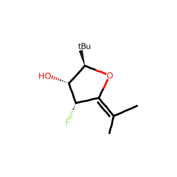 CC(C)=C1O[C@H](C(C)(C)C)[C@@H](O)[C@H]1F